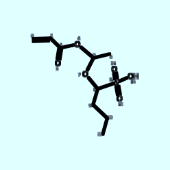 C=CC(=O)OC(C)OC(CCC)S(=O)(=O)O